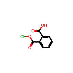 O=C(O)c1ccccc1C(=O)OCl